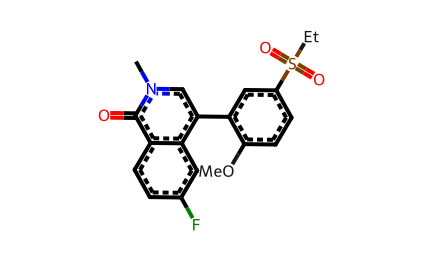 CCS(=O)(=O)c1ccc(OC)c(-c2cn(C)c(=O)c3ccc(F)cc23)c1